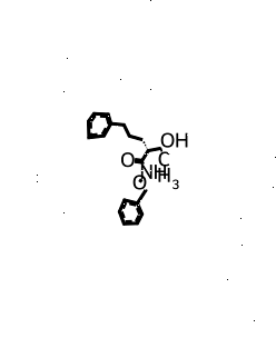 C[C@@H](O)[C@@H](CCCc1ccccc1)C(=O)NOCc1ccccc1